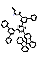 C=C/C=C\C(=C)c1cc(-c2ccccc2)cc(-c2nc(-c3cc(-c4ccccc4)cc(-c4ccccc4)c3)nc(-c3ccc4c(c3)C3(c5ccccc5-c5ccccc53)c3ccccc3-4)n2)c1